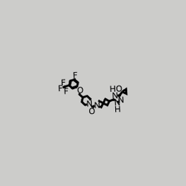 O=C(N1CCC(COc2cc(F)cc(C(F)(F)F)c2)CC1)N1CC2(CC(c3nc(C4(O)CC4)n[nH]3)C2)C1